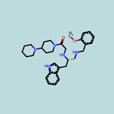 COc1ccccc1CNC[C@H](Cc1c[nH]c2ccccc12)NCC(=O)N1CCC(N2CCCCC2)CC1